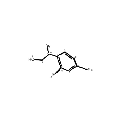 CC(C)[C@H](CO)c1ccc(F)cc1F